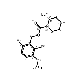 CCCCOc1ccc(F)c(COC(=O)N2CCNC[C@H]2CC)c1F